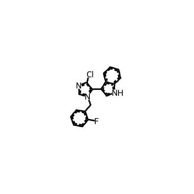 Fc1ccccc1Cn1cnc(Cl)c1-c1c[nH]c2ccccc12